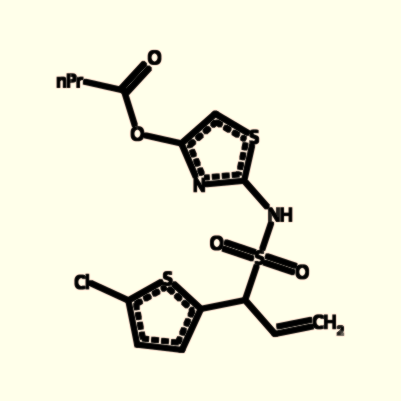 C=CC(c1ccc(Cl)s1)S(=O)(=O)Nc1nc(OC(=O)CCC)cs1